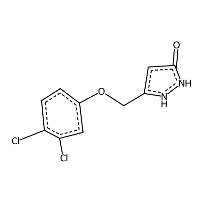 O=c1cc(COc2ccc(Cl)c(Cl)c2)[nH][nH]1